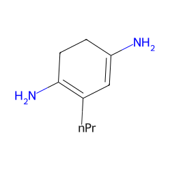 CCCC1=C(N)CCC(N)=C1